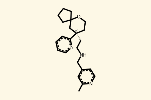 Cc1cc(CNCC[C@@]2(c3ccccn3)CCOC3(CCCC3)C2)ccn1